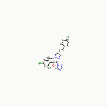 C[C@@H](n1cc(CCc2ccc(Cl)cc2)cn1)[C@](O)(Cn1cncn1)c1ccc(F)cc1F